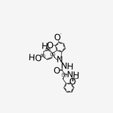 COc1ccc2c3c1O[C@H]1C[C@@H](O)C=C[C@@]31CCN(NC(=O)[C@H](Cc1ccccc1)NC(C)=O)C2